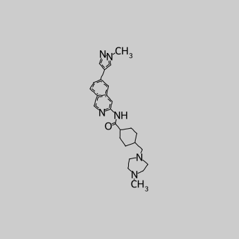 CN1CCN(CC2CCC(C(=O)Nc3cc4cc(-c5cnn(C)c5)ccc4cn3)CC2)CC1